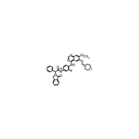 COc1cc2ncnc(Nc3ccc(NC(=O)C(c4ccccc4)N4Cc5ccccc5C4=O)cc3F)c2cc1OCN1CCOCC1